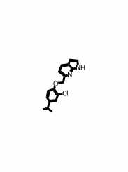 CC(C)c1ccc(OCc2ccc3cc[nH]c3n2)c(Cl)c1